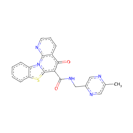 Cc1cnc(CNC(=O)c2c(=O)c3cccnc3n3c2sc2ccccc23)cn1